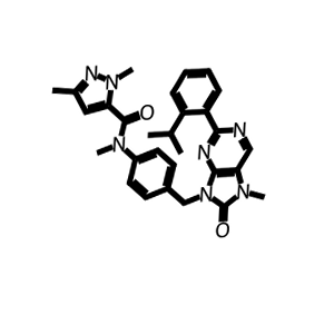 Cc1cc(C(=O)N(C)c2ccc(Cn3c(=O)n(C)c4cnc(-c5ccccc5C(C)C)nc43)cc2)n(C)n1